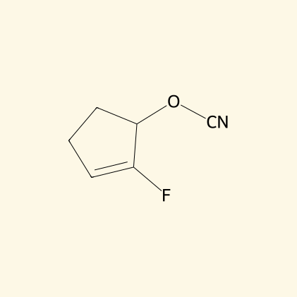 N#COC1CCC=C1F